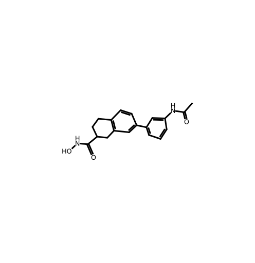 CC(=O)Nc1cccc(-c2ccc3c(c2)CC(C(=O)NO)CC3)c1